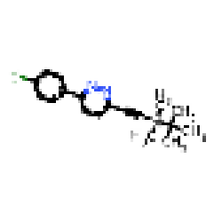 CC(C)(C)[Si](C)(C)C#Cc1ccc(-c2ccc(Cl)cc2)nn1